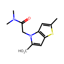 Cc1cc2c(cc(C(=O)O)n2CC(=O)N(C)C)s1